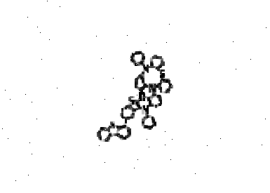 c1ccc(N2c3ccc4c(c3)N(c3ccccc3Sc3ccccc32)c2cccc3c2B4c2sc4ccc(-c5cccc6c5sc5ccccc56)cc4c2N3c2ccccc2)cc1